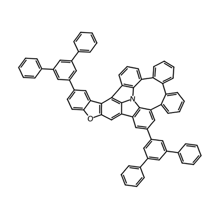 c1ccc(-c2cc(-c3ccccc3)cc(-c3ccc4oc5cc6c7cc(-c8cc(-c9ccccc9)cc(-c9ccccc9)c8)cc8c9ccccc9c9ccccc9c9cccc%10c(c5c4c3)c6n(c87)c9%10)c2)cc1